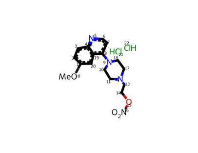 COc1ccc2nccc(N3CCN(CCO[N+](=O)[O-])CC3)c2c1.Cl.Cl